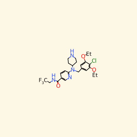 CCOc1cc(CN(c2ccc(C(=O)NCC(F)(F)F)cn2)C2CCNCC2)cc(OCC)c1Cl